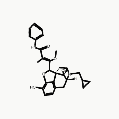 CO/C(=C(/C)C(=O)Nc1ccccc1)[C@@H]1Oc2c(O)ccc3c2[C@@]12CCN(CC1CC1)[C@H](C3)[C@@]2(C)O